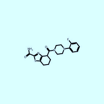 NC(=O)c1nc2c(s1)CCCC2C(=O)N1CCN(c2ccccc2F)CC1